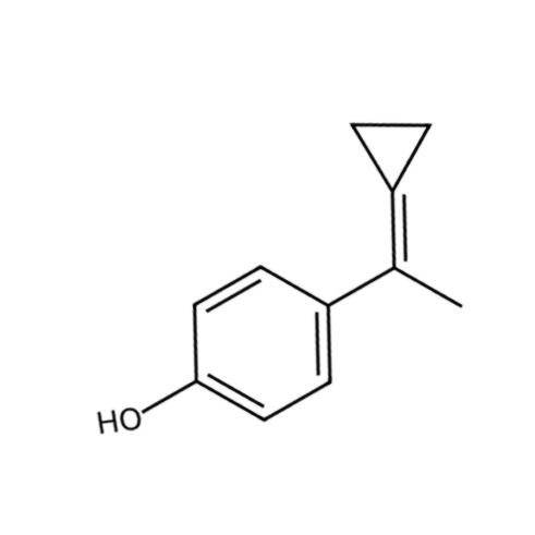 CC(=C1CC1)c1ccc(O)cc1